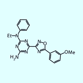 CCN(c1ccccc1)c1nc(N)nc(-c2noc(-c3cccc(OC)c3)n2)n1